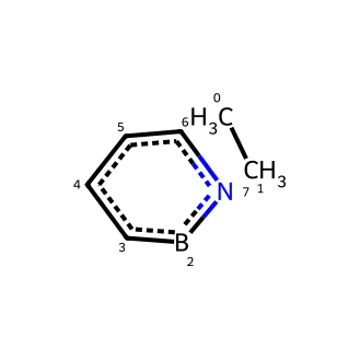 CC.b1ccccn1